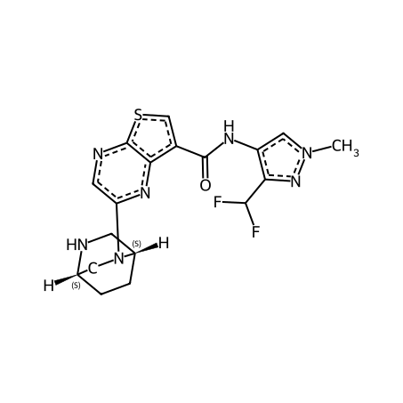 Cn1cc(NC(=O)c2csc3ncc(N4C[C@@H]5CC[C@H]4CN5)nc23)c(C(F)F)n1